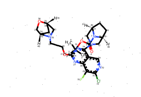 CC(C)(C)OC(=O)N1[C@@H]2CC[C@H]1CN(c1nc(OCCN3C[C@@H]4C[C@H]3CO4)nc3c(F)c(Cl)ncc13)C2